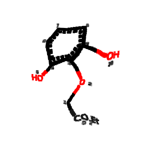 CCOC(=O)COc1c(O)cccc1O